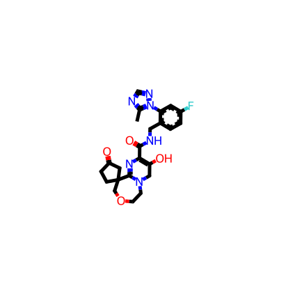 Cc1ncnn1-c1cc(F)ccc1CNC(=O)C1=C(O)CN2CCOCC3(CCC(=O)C3)C2=N1